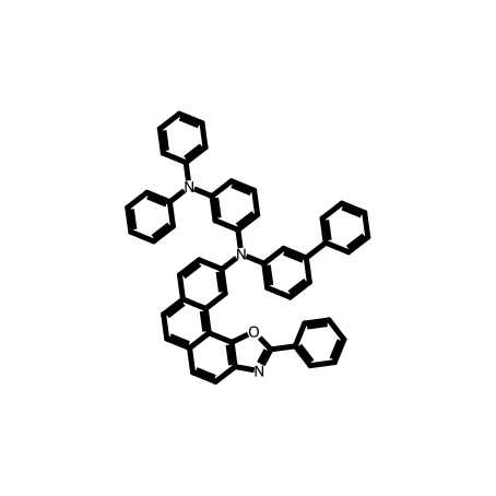 c1ccc(-c2cccc(N(c3cccc(N(c4ccccc4)c4ccccc4)c3)c3ccc4ccc5ccc6nc(-c7ccccc7)oc6c5c4c3)c2)cc1